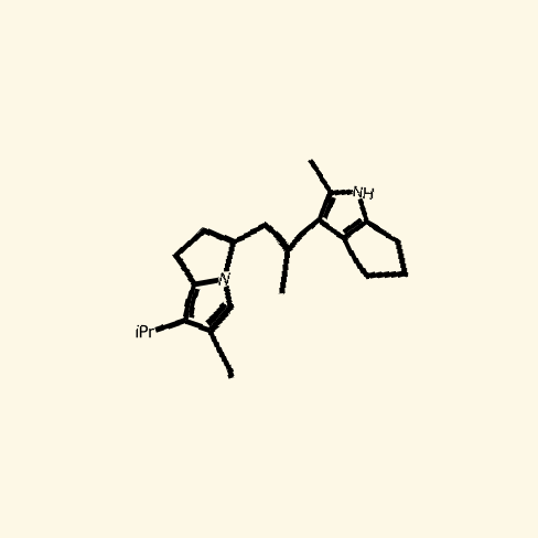 Cc1cn2c(c1C(C)C)CCC2CC(C)c1c(C)[nH]c2c1CCC2